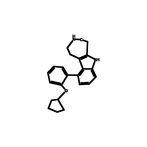 c1ccc(-c2cccc3[nH]c4c(c23)CCNCC4)c(OC2CCCC2)c1